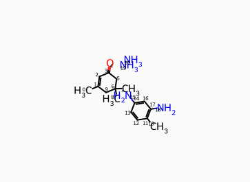 CC1=CC(=O)CC(C)(C)C1.Cc1ccc(N)cc1N.N.N